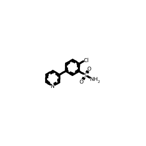 NS(=O)(=O)c1cc(-c2cccnc2)ccc1Cl